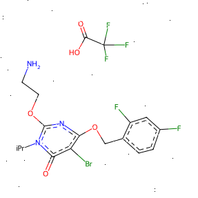 CC(C)n1c(OCCN)nc(OCc2ccc(F)cc2F)c(Br)c1=O.O=C(O)C(F)(F)F